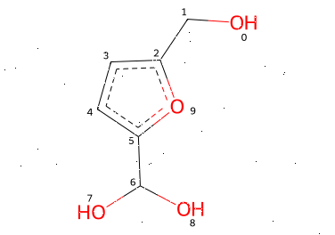 OCc1ccc(C(O)O)o1